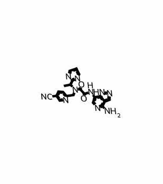 CC(c1ncccn1)N(Cc1ccc(C#N)cn1)C(=O)C(=O)Nc1cnc(N)c2cn[nH]c12